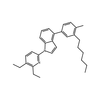 CCCCCCc1cc(-c2cccc3c2ccn3-c2ccc(CC)c(CC)n2)ccc1C